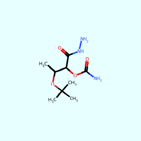 CC(OC(C)(C)C)C(OC(N)=O)C(=O)NN